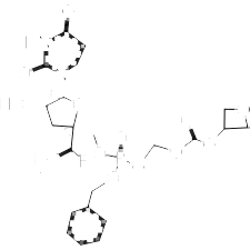 C=C(F)[C@@]1(COP(=O)(OCOC(=O)OC2COC2)OCc2ccccc2)C[C@H](C)[C@H](n2ccc(=O)[nH]c2=O)O1